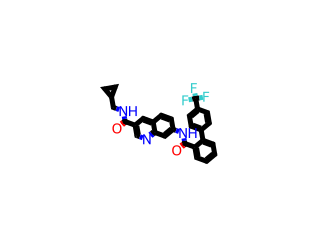 O=C(NCC1CC1)c1cnc2cc(NC(=O)c3ccccc3-c3ccc(C(F)(F)F)cc3)ccc2c1